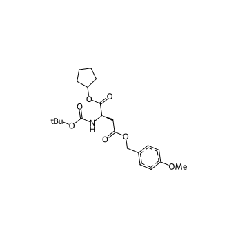 COc1ccc(COC(=O)C[C@@H](NC(=O)OC(C)(C)C)C(=O)OC2CCCC2)cc1